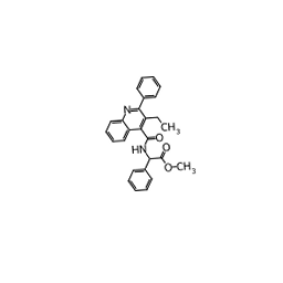 CCc1c(-c2ccccc2)nc2ccccc2c1C(=O)NC(C(=O)OC)c1ccccc1